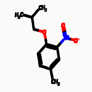 Cc1ccc(OCC(C)C)c([N+](=O)[O-])c1